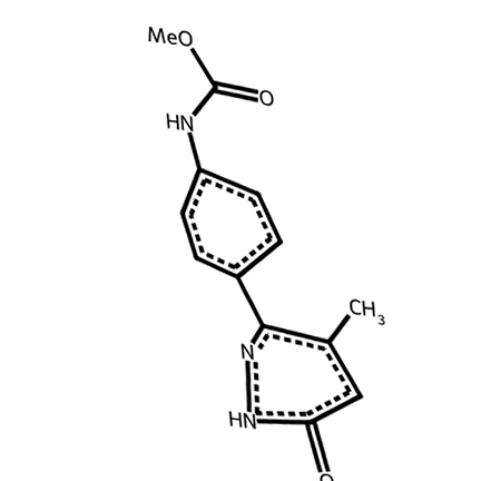 COC(=O)Nc1ccc(-c2n[nH]c(=O)cc2C)cc1